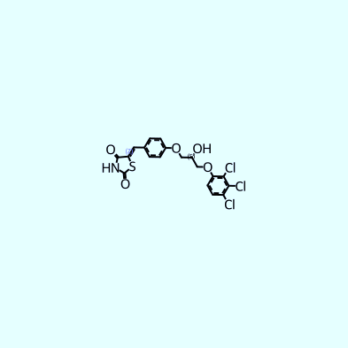 O=C1NC(=O)/C(=C/c2ccc(OC[C@H](O)COc3ccc(Cl)c(Cl)c3Cl)cc2)S1